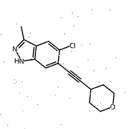 Cc1n[nH]c2cc(C#CC3CCOCC3)c(Cl)cc12